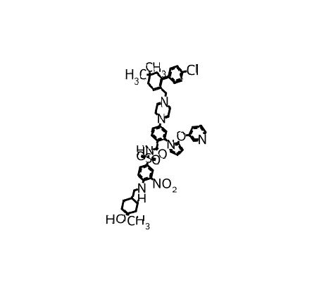 CC1(C)CCC(CN2CCN(c3ccc(C(=O)NS(=O)(=O)c4ccc(NCC5CCC(C)(O)CC5)c([N+](=O)[O-])c4)c(-n4cccc4Oc4cccnc4)c3)CC2)=C(c2ccc(Cl)cc2)C1